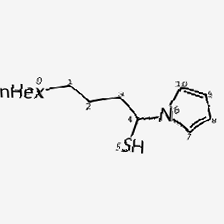 CCCCCCCCCC(S)n1cccc1